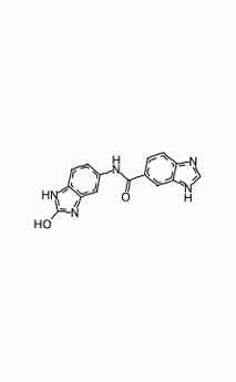 O=C(Nc1ccc2[nH]c(O)nc2c1)c1ccc2nc[nH]c2c1